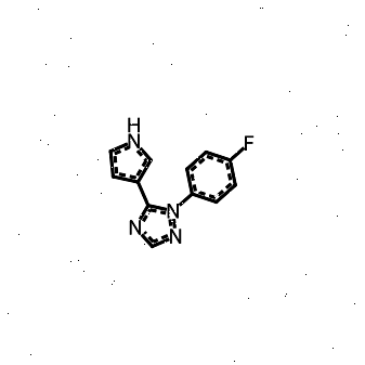 Fc1ccc(-n2ncnc2-c2cc[nH]c2)cc1